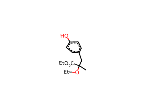 CCOC(=O)C(C)(Cc1ccc(O)cc1)OCC